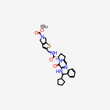 CC(C)(C)OC(=O)N1Cc2cc(CNC(=O)[C@@H]3CCc4cnc(N[C@@H](c5ccccc5)C5CCCC5)c(=O)n43)sc2C1